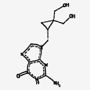 Nc1nc2c(ncn2CC2CC2(CO)CO)c(=O)[nH]1